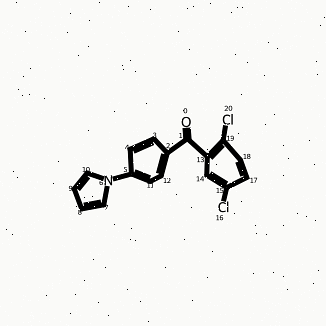 O=C(c1ccc(-n2cccc2)cc1)c1cc(Cl)ccc1Cl